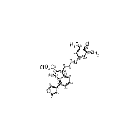 CCOC(=O)c1[nH]c2c(-c3ccoc3)cccc2c1CCCOc1cc(C)c(Cl)c(C)c1